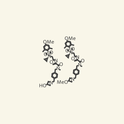 COc1cc(C)c(S(=O)(=O)N(Cc2nc(C(=O)N(C)Cc3ccc(CN4CC(O)C4)cc3)co2)C2CC2)c(C)c1.COc1cc(C)c(S(=O)(=O)N(Cc2nc(C(=O)N(C)Cc3ccc(CN4CC(OC)C4)cc3)co2)C2CC2)c(C)c1